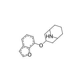 c1cc(OC2CC3CCCC(C2)N3)c2occc2c1